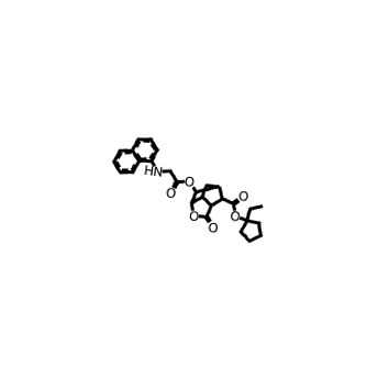 CCC1(OC(=O)C2C3CC4C(OC(=O)C42)C3OC(=O)CNc2cccc3ccccc23)CCCC1